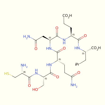 CC(C)C[C@H](NC(=O)[C@H](CCC(=O)O)NC(=O)[C@H](CC(N)=O)NC(=O)[C@H](CCC(N)=O)NC(=O)[C@H](CO)NC(=O)[C@@H](N)CS)C(=O)O